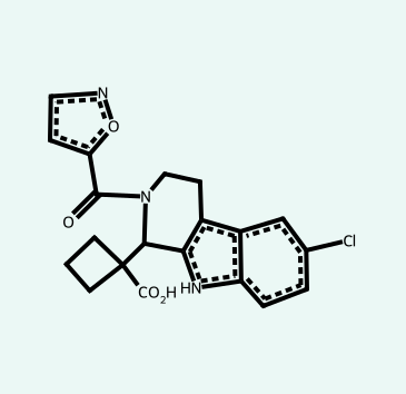 O=C(c1ccno1)N1CCc2c([nH]c3ccc(Cl)cc23)C1C1(C(=O)O)CCC1